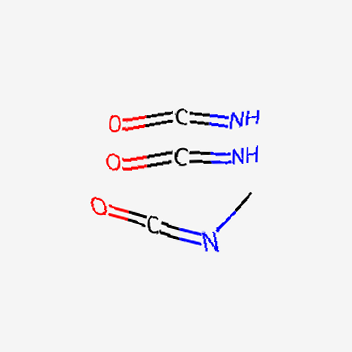 CN=C=O.N=C=O.N=C=O